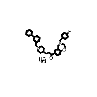 Cl.Cl.O=C(CCC1CCN(Cc2cccc(-c3ccccc3)c2)CC1)c1ccc2c(c1)CN(Cc1ccc(F)cc1)CCO2